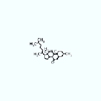 CC(C)CCCC(C)C1CCC2C3C(=O)C=C4CC(C)CCC4(C)C3CCC12C